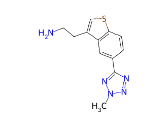 Cn1nnc(-c2ccc3scc(CCN)c3c2)n1